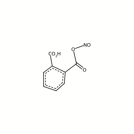 O=NOC(=O)c1ccccc1C(=O)O